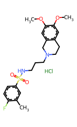 COc1cc2c(cc1OC)CN(CCCNS(=O)(=O)c1ccc(F)c(C)c1)CC2.Cl